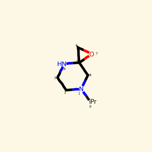 CC(C)N1CCNC2(CO2)C1